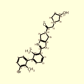 Cc1c(Br)cccc1-c1cccc(-c2nc3c(s2)CN(C(=O)CN2CC[C@@H](O)C2)C3)c1C